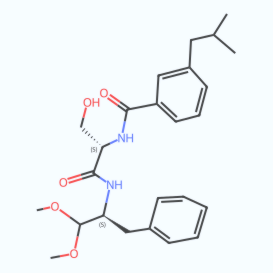 COC(OC)[C@H](Cc1ccccc1)NC(=O)[C@H](CO)NC(=O)c1cccc(CC(C)C)c1